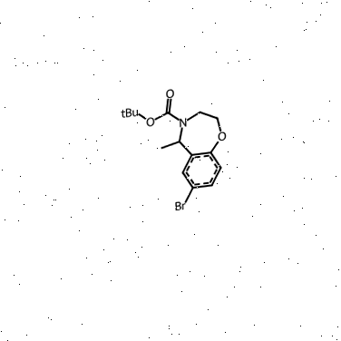 CC1c2cc(Br)ccc2OCCN1C(=O)OC(C)(C)C